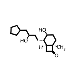 C[C@@]12CC[C@H](O)[C@@H](CC[C@@H](O)CC3CCCC3)[C@@H]1CC2=O